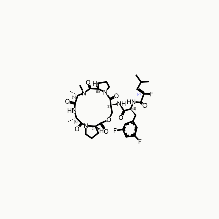 CC(C)/C=C(\F)C(=O)N[C@@H](Cc1cc(F)cc(F)c1)C(=O)N[C@H]1COC(=O)[C@@H]2CCCN2C(=O)[C@H](C)NC(=O)[C@H](C)N(C)C(=O)[C@@H]2CCCN2C1=O